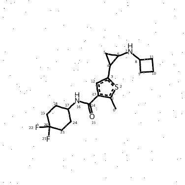 Cc1sc(C2CC2NC2CCC2)cc1C(=O)NC1CCC(F)(F)CC1